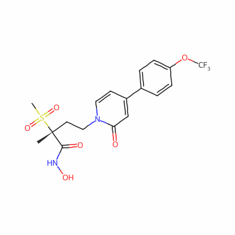 C[C@@](CCn1ccc(-c2ccc(OC(F)(F)F)cc2)cc1=O)(C(=O)NO)S(C)(=O)=O